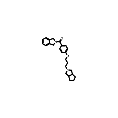 O=C(c1ccc(OCCCN2CC3CCCC3C2)cc1)N1Cc2ccccc2C1